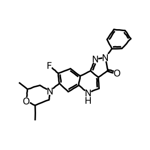 CC1CN(c2cc3[nH]cc4c(=O)n(-c5ccccc5)nc-4c3cc2F)CC(C)O1